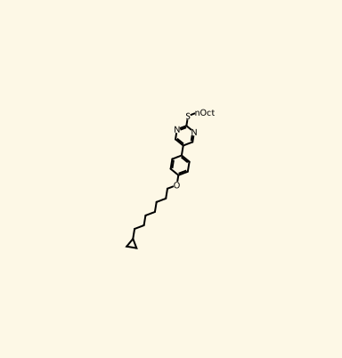 CCCCCCCCSc1ncc(-c2ccc(OCCCCCCCC3CC3)cc2)cn1